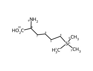 C[Si](C)(C)CCCCC(N)C(=O)O